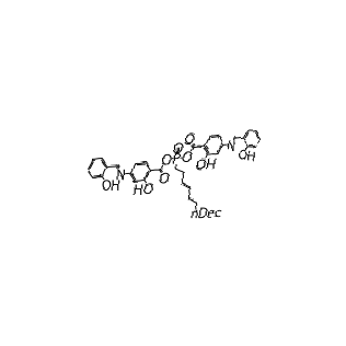 CCCCCCCCCCCCCCCCP(=O)(OC(=O)c1ccc(N=Cc2ccccc2O)cc1O)OC(=O)c1ccc(N=Cc2ccccc2O)cc1O